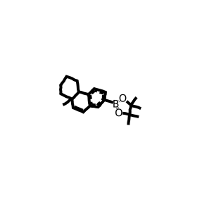 CC12C=Cc3cc(B4OC(C)(C)C(C)(C)O4)ccc3C1CCCC2